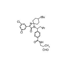 CC(C)CC(c1ccc(C(=O)NC[C@H](C)C=O)cc1)N1C(=O)C(c2cc(Cl)cc(Cl)c2)=NC12CCC(C(C)(C)C)CC2